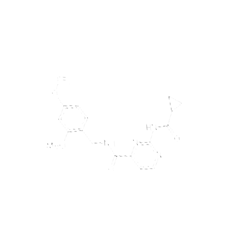 COc1cc(OC(F)(F)F)ccc1CNC(=O)c1ccnc(NC(=O)C2CC2)n1